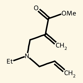 C=CCN(CC)CC(=C)C(=O)OC